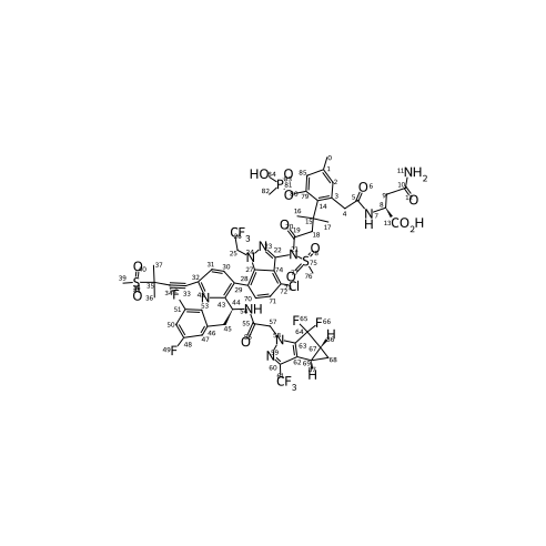 Cc1cc(CC(=O)N[C@@H](CC(N)=O)C(=O)O)c(C(C)(C)CC(=O)N(c2nn(CC(F)(F)F)c3c(-c4ccc(C#CC(C)(C)S(C)(=O)=O)nc4[C@H](Cc4cc(F)cc(F)c4)NC(=O)Cn4nc(C(F)(F)F)c5c4C(F)(F)[C@@H]4C[C@H]54)ccc(Cl)c23)S(C)(=O)=O)c(OP(C)(=O)O)c1